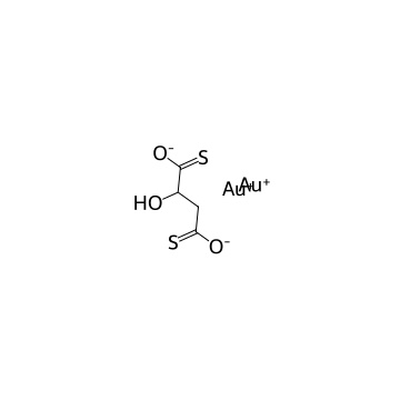 [Au+].[Au+].[O-]C(=S)CC(O)C([O-])=S